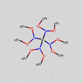 CCCO[N](OCCC)[Zr]([N](OCCC)OCCC)([N](OCCC)OCCC)[N](OCCC)OCCC